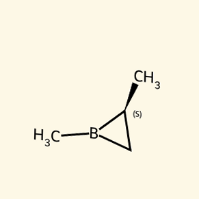 CB1C[C@@H]1C